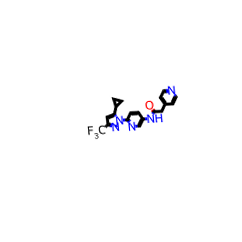 O=C(Cc1ccncc1)Nc1ccc(-n2nc(C(F)(F)F)cc2C2CC2)nc1